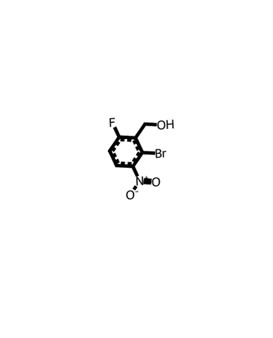 O=[N+]([O-])c1ccc(F)c(CO)c1Br